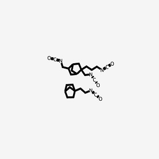 O=C=NCCC12CCC(CC1)C2.O=C=NCCCC1(CN=C=O)CC2CC1CC2CN=C=O